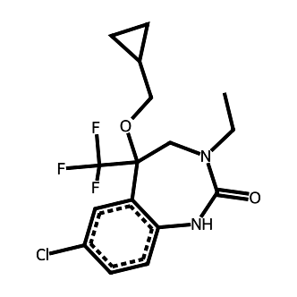 CCN1CC(OCC2CC2)(C(F)(F)F)c2cc(Cl)ccc2NC1=O